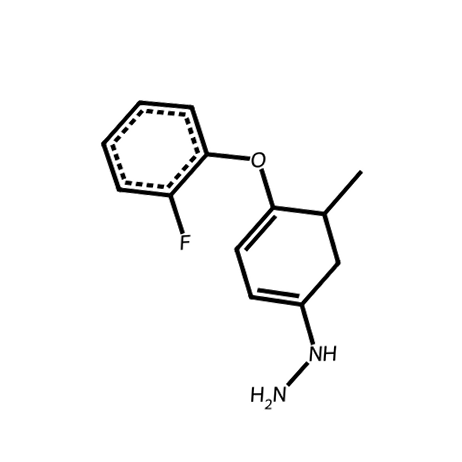 CC1CC(NN)=CC=C1Oc1ccccc1F